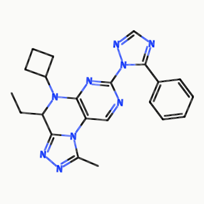 CCC1c2nnc(C)n2-c2cnc(-n3ncnc3-c3ccccc3)nc2N1C1CCC1